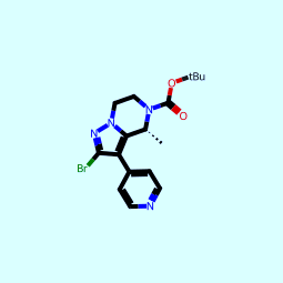 C[C@@H]1c2c(-c3ccncc3)c(Br)nn2CCN1C(=O)OC(C)(C)C